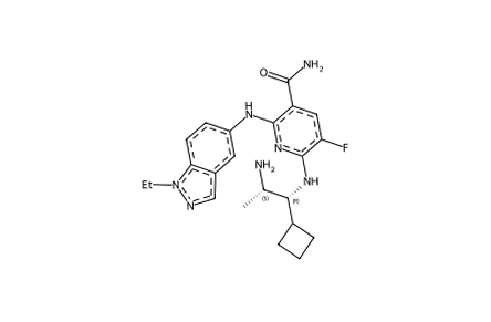 CCn1ncc2cc(Nc3nc(N[C@H](C4CCC4)[C@H](C)N)c(F)cc3C(N)=O)ccc21